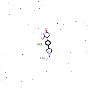 Cl.O=C(O)CN1CCC(c2ccc([C@H]3CCC(=O)NC3=O)cc2)CC1